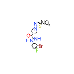 N=C(Nc1ccc(F)c(Br)c1)C(=O)C1CCN(c2ncc([N+](=O)[O-])s2)CC1